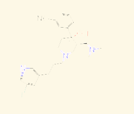 CN(C)C[C@H]1CN(CCCc2cncc(F)c2)CC[C@]1(O)c1cccc(C#N)c1